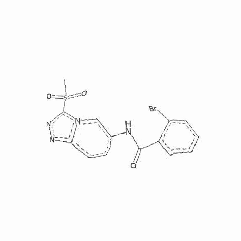 CS(=O)(=O)c1nnc2ccc(NC(=O)c3ccccc3Br)cn12